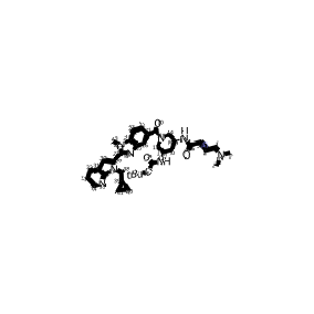 CN(C)C/C=C/C(=O)N[C@@H]1C[C@H](NC(=O)OC(C)(C)C)CN(C(=O)c2ccc3c(c2)nc(-c2cc4cccnc4n2CC2CC2)n3C)C1